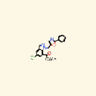 COC(=O)c1cc(Cl)cc2cnn(Cc3cnc(-c4ccccc4)o3)c12